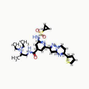 CCN(CC)C(C)CNC(=O)c1cc(NS(=O)(=O)C2CC2)nc(-c2cc3nc(-c4cccs4)ccn3n2)c1